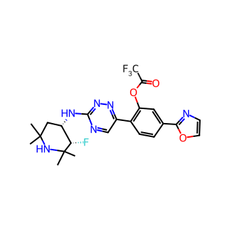 CC1(C)C[C@H](Nc2ncc(-c3ccc(-c4ncco4)cc3OC(=O)C(F)(F)F)nn2)[C@H](F)C(C)(C)N1